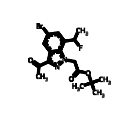 CC(=O)c1nn(CC(=O)OC(C)(C)C)c2c(C(C)F)cc(Br)cc12